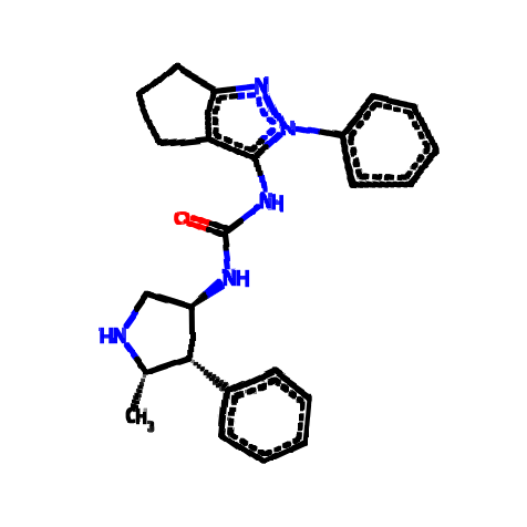 C[C@@H]1NC[C@@H](NC(=O)Nc2c3c(nn2-c2ccccc2)CCC3)[C@@H]1c1ccccc1